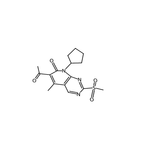 CC(=O)c1c(C)c2cnc(S(C)(=O)=O)nc2n(C2CCCC2)c1=O